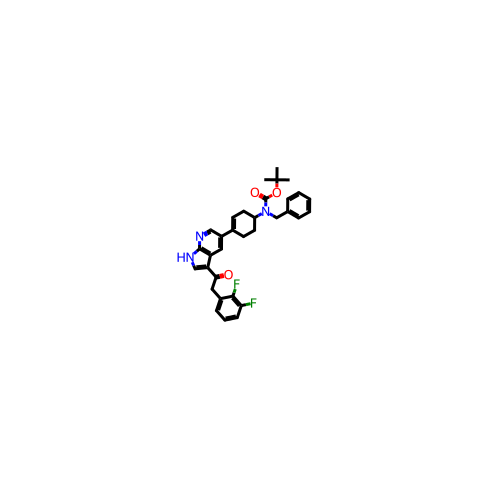 CC(C)(C)OC(=O)N(Cc1ccccc1)C1CC=C(c2cnc3[nH]cc(C(=O)Cc4cccc(F)c4F)c3c2)CC1